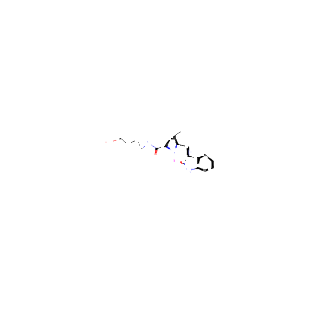 Cc1cc(C(=O)NCCCCO)[nH]c1/C=C1\C(=O)Nc2ccccc21